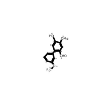 COc1cc(C=O)c(-c2cccc(OC(F)(F)F)c2)cc1O